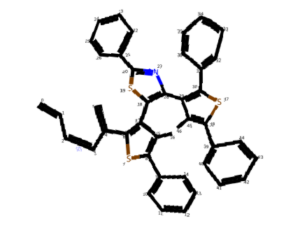 C=C/C=C\C(=C)c1sc(-c2ccccc2)c(C)c1-c1sc(-c2ccccc2)nc1-c1c(-c2ccccc2)sc(-c2ccccc2)c1C